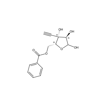 C#C[C@]1(O)[C@@H](COC(=O)c2ccccc2)OC(O)[C@@H]1O